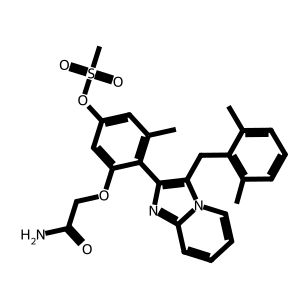 Cc1cccc(C)c1Cc1c(-c2c(C)cc(OS(C)(=O)=O)cc2OCC(N)=O)nc2ccccn12